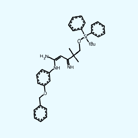 CC(C)(CO[Si](c1ccccc1)(c1ccccc1)C(C)(C)C)C(=N)/C=C(/N)Nc1cccc(OCc2ccccc2)c1